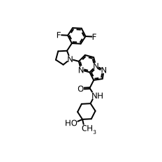 CC1(O)CCC(NC(=O)c2cnn3ccc(N4CCCC4c4cc(F)ccc4F)nc23)CC1